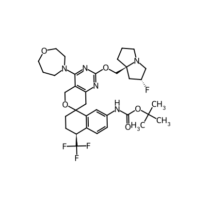 CC(C)(C)OC(=O)Nc1ccc2c(c1)C1(CC[C@@H]2C(F)(F)F)Cc2nc(OC[C@@]34CCCN3C[C@H](F)C4)nc(N3CCCOCC3)c2CO1